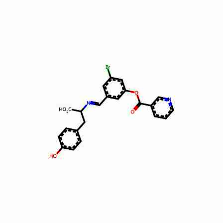 O=C(Oc1cc(Br)cc(C=NC(Cc2ccc(O)cc2)C(=O)O)c1)c1cccnc1